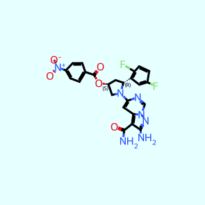 NC(=O)c1c(N)nn2cnc(N3C[C@@H](OC(=O)c4ccc([N+](=O)[O-])cc4)C[C@@H]3c3cc(F)ccc3F)cc12